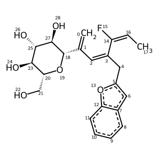 C=C(/C=C(Cc1cc2ccccc2o1)\C(F)=C/C)[C@@H]1O[C@H](CO)[C@@H](O)[C@H](O)[C@H]1O